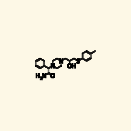 Cc1ccc(SCC(O)CN2CCN(C(C(N)=O)c3ccccc3)CC2)cc1